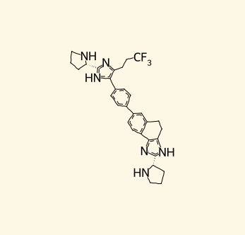 FC(F)(F)CCc1nc([C@@H]2CCCN2)[nH]c1-c1ccc(-c2ccc3c(c2)CCc2[nH]c([C@@H]4CCCN4)nc2-3)cc1